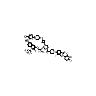 CNC(=O)COc1cc2cc(Nc3nc(N4CCC(O[C@H]5C[C@H](N6CCN(CC7CCN(c8ccc9c(c8F)CN(C8CCC(=O)NC8=O)C9=O)CC7)CC6)C5)CC4)ncc3Cl)ccc2n(C(C)C)c1=O